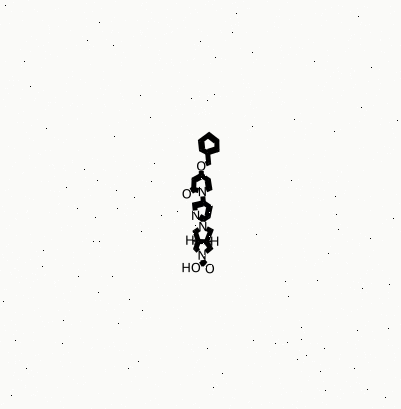 O=C(O)N1C[C@@H]2CN(c3ccc(-n4ccc(OCc5ccccc5)cc4=O)cn3)C[C@@H]2C1